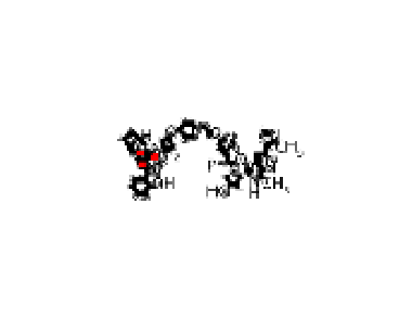 Cc1ncsc1-c1ccc([C@H](C)NC(=O)[C@@H]2C[C@@H](O)CN2C(=O)[C@@H](c2cc(OCCN3CCC(OC4CC(Oc5cc(N6C7CC[C@@H]6CN(c6cc(-c8ccccc8O)nnc6N)C7)ccn5)C4)CC3)no2)C(C)C)nn1